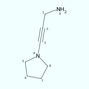 NCC#CN1CCCC1